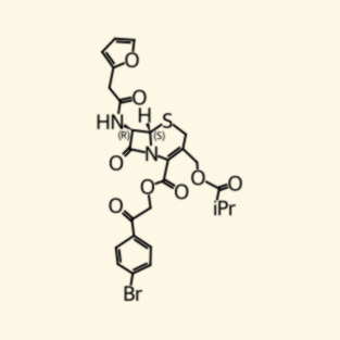 CC(C)C(=O)OCC1=C(C(=O)OCC(=O)c2ccc(Br)cc2)N2C(=O)[C@@H](NC(=O)Cc3ccco3)[C@@H]2SC1